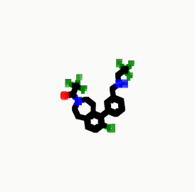 O=C(N1CCc2ccc(Cl)c(-c3cccc(CNCC(F)(F)F)c3)c2CC1)C(F)(F)F